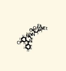 CCN(CC)CCCC(=NNC1=Nc2ccc(Cl)cc2C(c2ccccc2)=NC1)C(=O)OC